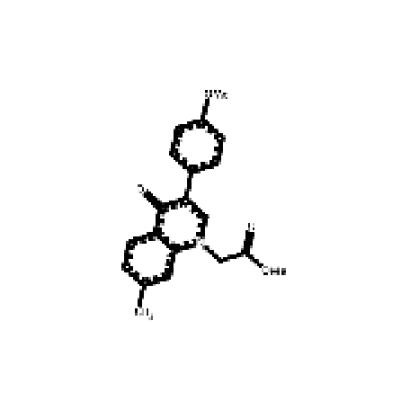 COC(=O)Cn1cc(-c2ccc(OC)cc2)c(=O)c2ccc(C)cc21